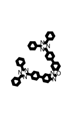 c1ccc(-c2nc(-c3ccccc3)nc(-c3ccc(-c4ccc5nc6oc7ccc(-c8ccc(-c9nc(-c%10ccccc%10)nc(-c%10ccccc%10)n9)cc8)cc7n6c5c4)cc3)n2)cc1